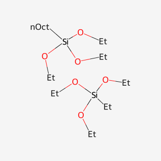 CCCCCCCC[Si](OCC)(OCC)OCC.CCO[Si](CC)(OCC)OCC